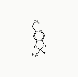 CCc1ccc2c(c1)OC(C)(F)O2